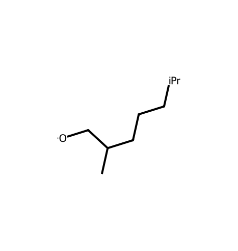 CC(C)CCCC(C)C[O]